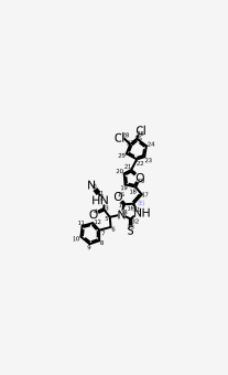 N#CNC(=O)C(Cc1ccccc1)N1C(=O)/C(=C\c2ccc(-c3ccc(Cl)c(Cl)c3)o2)NC1=S